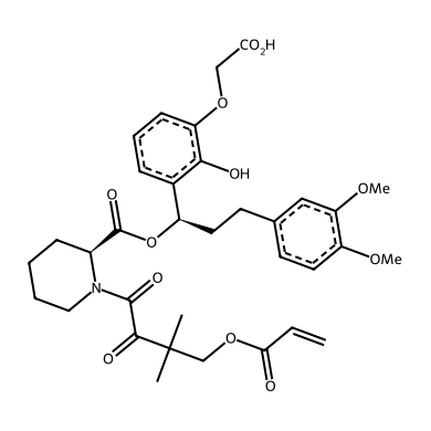 C=CC(=O)OCC(C)(C)C(=O)C(=O)N1CCCC[C@H]1C(=O)O[C@H](CCc1ccc(OC)c(OC)c1)c1cccc(OCC(=O)O)c1O